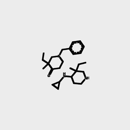 CCC1(C)CN(Cc2ccccc2)CCC1=O.CCC1(C)CNCCC1NC1CC1